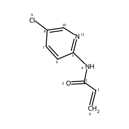 C=CC(=O)Nc1ccc(Cl)cn1